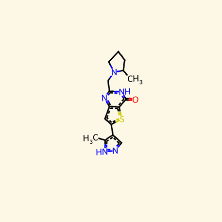 Cc1[nH]ncc1-c1cc2nc(CN3CCCC3C)[nH]c(=O)c2s1